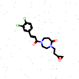 O=C(C=Cc1ccc(Cl)c(Cl)c1)N1CCC(=O)N(CCC2CO2)CC1